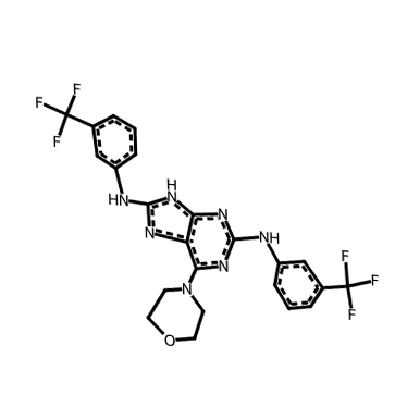 FC(F)(F)c1cccc(Nc2nc(N3CCOCC3)c3nc(Nc4cccc(C(F)(F)F)c4)[nH]c3n2)c1